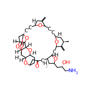 C=C1C[C@@H]2CC[C@@]34C[C@H]5O[C@H]6[C@@H](O3)[C@H]3OC(CC[C@@H]3O[C@H]6[C@H]5O4)CC(=O)C[C@H]3[C@H](CC4O[C@@H](CCC1O2)C[C@@H](C)C4=C)OC(C[C@H](O)CN)[C@@H]3C